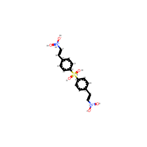 O=[N+]([O-])C=Cc1ccc(S(=O)(=O)c2ccc(C=C[N+](=O)[O-])cc2)cc1